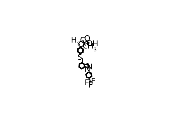 CC(C)(Oc1ccc(SCc2cccc3c2cnn3-c2ccc(C(F)(F)F)cc2)cc1)C(=O)O